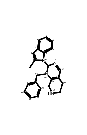 Cc1cc2ccccc2n1C1N=CC2=C(CNCC2)N1Cc1ccccc1